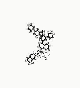 NC(SC(N)c1ccc2ccccc2c1)C1=CCC(C2=CC(c3ccccc3)NC(C3=CC=C(C4=CCCC=C4)CC3)=N2)C2=CC=CCC12